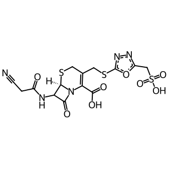 N#CCC(=O)NC1C(=O)N2C(C(=O)O)=C(CSc3nnc(CS(=O)(=O)O)o3)CS[C@H]12